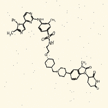 Cc1cc(S(=O)(=O)NCCO[C@H]2CC[C@H](CN3CCC(c4ccc5c(c4)n(C)c(=O)n5C4CCC(=O)NC4=O)CC3)CC2)ccc1Nc1nccc(-c2cnc(C)n2C(C)C)n1